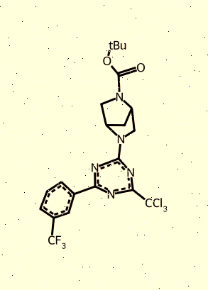 CC(C)(C)OC(=O)N1CC2CC1CN2c1nc(-c2cccc(C(F)(F)F)c2)nc(C(Cl)(Cl)Cl)n1